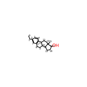 CCc1ccc2c(c1)CCC1C2CCC2(C)C(O)CCC12